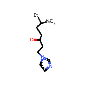 CCC(CCC(=O)CCn1ccnc1)[N+](=O)[O-]